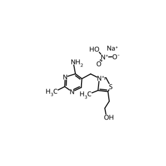 Cc1ncc(C[n+]2csc(CCO)c2C)c(N)n1.O=[N+]([O-])O.[Na+]